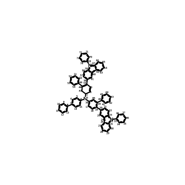 C1=CC(N(c2ccc(-c3ccccc3)cc2)c2ccc(-c3ccc4c(c3)c3ccccc3n4-c3ccccc3)c(-c3ccccc3)c2)CC(c2ccccc2)=C1c1ccc2c(c1)c1ccccc1n2-c1ccccc1